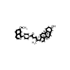 COc1ccc2ccnc(N3CCN(C(=O)CC[C@@H](C)[C@H]4CC[C@H]5[C@@H]6CC=C7C[C@@H](O)CC[C@]7(C)[C@H]6CC[C@]45C)CC3)c2c1